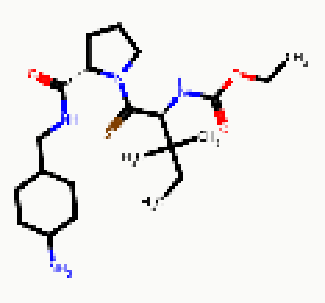 CCOC(=O)N[C@H](C(=S)N1CCC[C@H]1C(=O)NCC1CCC(N)CC1)C(C)(C)CC